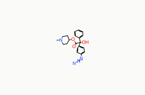 CN1CCC(OC(=O)C(O)(c2ccccc2)c2ccc(N=[N+]=[N-])cc2)CC1